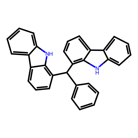 c1ccc(C(c2cccc3c2[nH]c2ccccc23)c2cccc3c2[nH]c2ccccc23)cc1